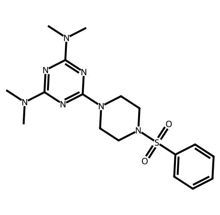 CN(C)c1nc(N(C)C)nc(N2CCN(S(=O)(=O)c3ccccc3)CC2)n1